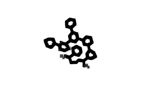 C=C(/C=C\C=C(/C)c1cccc(-c2cccc(-c3cc(-c4ccccc4)cc(-c4ncnc(-c5ccccc5)n4)c3)c2)c1)c1ccccc1